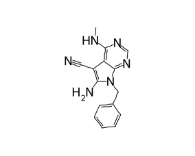 CNc1ncnc2c1c(C#N)c(N)n2Cc1ccccc1